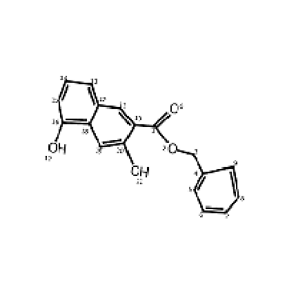 O=C(OCc1ccccc1)c1cc2cccc(O)c2cc1O